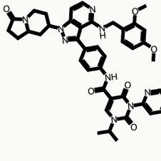 COc1ccc(CNc2nccc3c2c(-c2ccc(NC(=O)c4cn(C(C)C)c(=O)n(-c5ccccn5)c4=O)cc2)nn3C2CCN3C(=O)CCC3C2)c(OC)c1